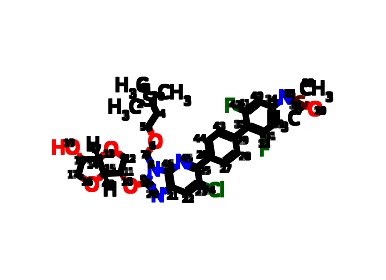 C[Si](C)(C)CCOCn1c(O[C@@H]2CO[C@H]3[C@@H]2OC[C@H]3O)nc2cc(Cl)c(-c3ccc(-c4c(F)cc(N=S(C)(C)=O)cc4F)cc3)nc21